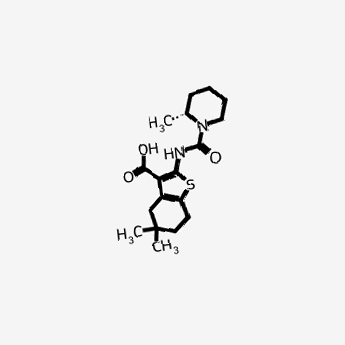 C[C@@H]1CCCCN1C(=O)Nc1sc2c(c1C(=O)O)CC(C)(C)CC2